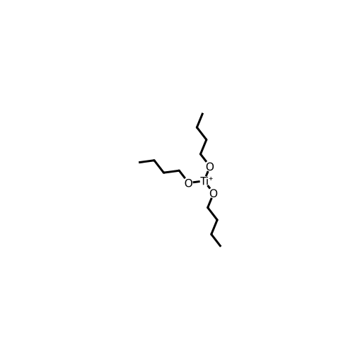 CCCC[O][Ti+]([O]CCCC)[O]CCCC